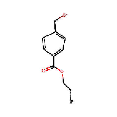 CC(C)CCOC(=O)c1ccc(CBr)cc1